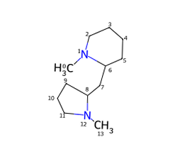 CN1CCCCC1CC1CCCN1C